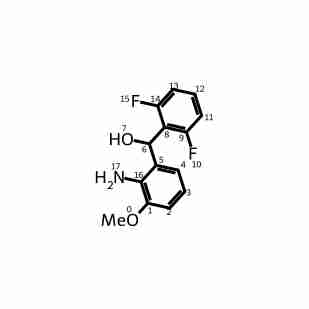 COc1cccc(C(O)c2c(F)cccc2F)c1N